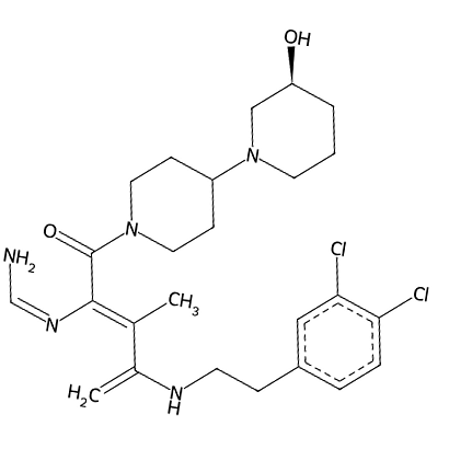 C=C(NCCc1ccc(Cl)c(Cl)c1)/C(C)=C(\N=C/N)C(=O)N1CCC(N2CCC[C@H](O)C2)CC1